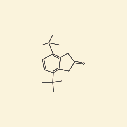 CC(C)(C)c1ccc(C(C)(C)C)c2c1CC(=O)C2